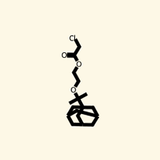 CC(C)(OCCOC(=O)CCl)C12CC3CC(CC(C3)C1)C2